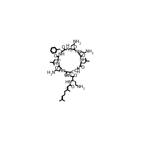 CC(C)=CCC/C(C)=C/C(=O)N[C@H](CCN)C(=O)N[C@H]1CCNC(=O)[C@H](CC(C)C)NC(=O)[C@H](CCN)NC(=O)[C@H](CCN)NC(=O)[C@@H](Cc2ccccc2)NC(=O)[C@H](CC(C)C)NC(=O)[C@H](CCN)NC1=O